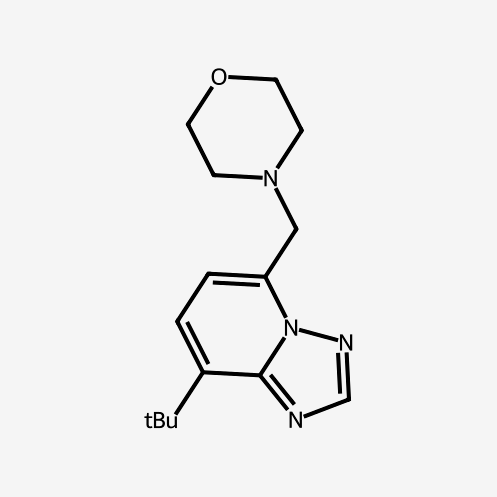 CC(C)(C)c1ccc(CN2CCOCC2)n2ncnc12